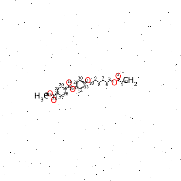 C=CC(=O)OCCCCCCOc1ccc(OC(=O)C2CCC(C(=O)OC)CC2)cc1